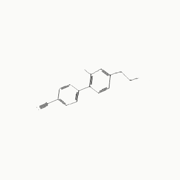 CCCc1ccc(-c2ccc(C#N)cc2)c(F)c1